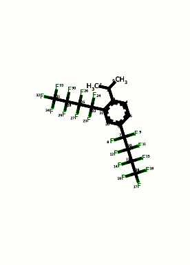 C[C](C)c1ccc(C(F)(F)C(F)(F)C(F)(F)C(F)(F)F)cc1C(F)(F)C(F)(F)C(F)(F)C(F)(F)F